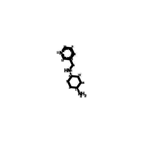 N[C@H]1CC[C@H](NCc2cccnc2)CC1